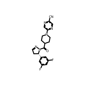 N#Cc1cnc(N2CCC(C(=O)N3N=CC[C@H]3c3cc(F)cc(F)c3)CC2)cn1